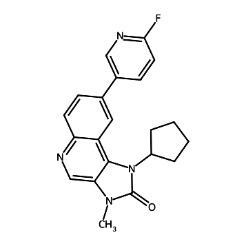 Cn1c(=O)n(C2CCCC2)c2c3cc(-c4ccc(F)nc4)ccc3ncc21